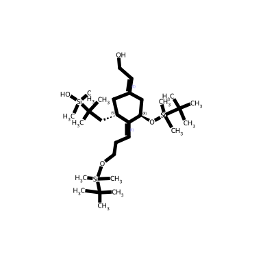 CC(C)(C[C@@H]1C/C(=C\CO)C[C@@H](O[Si](C)(C)C(C)(C)C)/C1=C/CCO[Si](C)(C)C(C)(C)C)[Si](C)(C)O